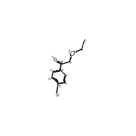 CCOCC(=O)c1ccc(C)cc1